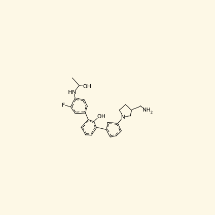 CC(O)Nc1ccc(-c2cccc(-c3cccc(N4CCC(CN)C4)c3)c2O)cc1F